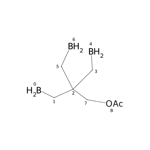 BCC(CB)(CB)COC(C)=O